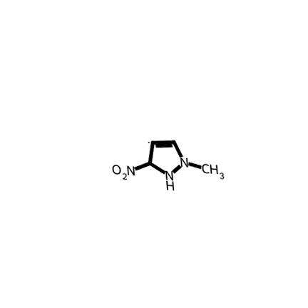 CN1C=[C]C([N+](=O)[O-])N1